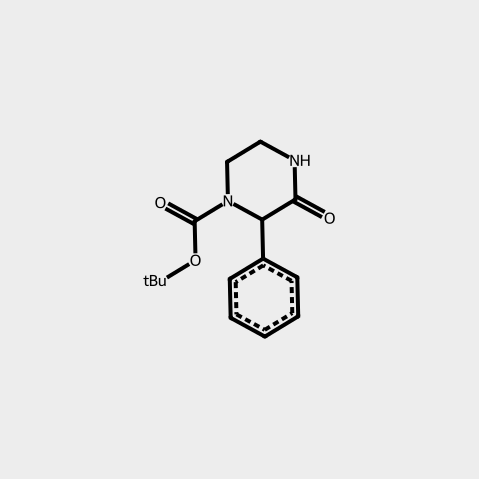 CC(C)(C)OC(=O)N1CCNC(=O)C1c1ccccc1